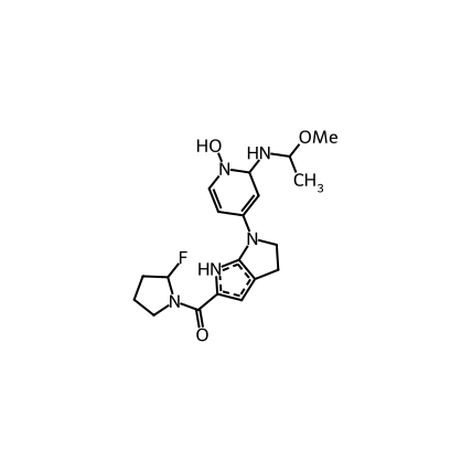 COC(C)NC1C=C(N2CCc3cc(C(=O)N4CCCC4F)[nH]c32)C=CN1O